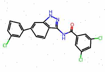 O=C(Nc1n[nH]c2cc(-c3cccc(Cl)c3)ccc12)c1cc(Cl)cc(Cl)c1